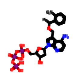 CC(C)C(OCc1cn([C@H]2C[C@@H](O)[C@@H](COP(=O)(O)OP(=O)(O)OP(=O)(O)O)O2)c2nccc(N)c12)c1ccccc1[N+](=O)[O-]